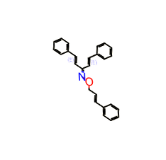 C(=Cc1ccccc1)CON=C(/C=C/c1ccccc1)/C=C/c1ccccc1